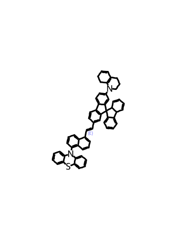 C1=CC2c3ccccc3C3(c4cc(/C=C/c5cccc6c(N7c8ccccc8Sc8ccccc87)cccc56)ccc4-c4ccc(N5CCCC6=C5CCC=C6)cc43)C2C=C1